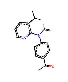 C=C(C)N(c1ccc(C(C)=O)cc1)c1ncccc1C(C)C